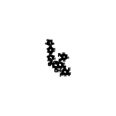 O=C(/C=C(/O)c1cc(Cc2cc(F)cc(F)c2F)cn(Cc2ccccc2F)c1=O)C(=O)N1CCN(c2ccc(-n3ccnc3)cc2)CC1